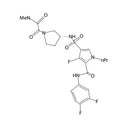 CCCn1cc(S(=O)(=O)N[C@@H]2CCN(C(=O)C(=O)NC)C2)c(F)c1C(=O)Nc1ccc(F)c(F)c1